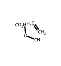 C=C.N#COC(=O)O